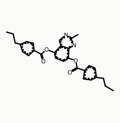 CCCc1ccc(C(=O)Oc2ccc(OC(=O)c3ccc(CCC)cc3)c3nc(C)ncc23)cc1